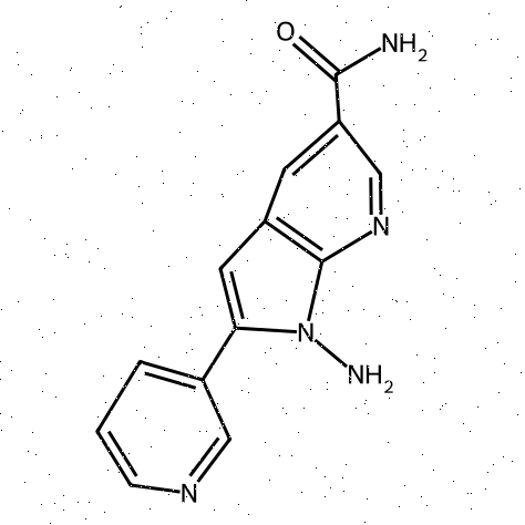 NC(=O)c1cnc2c(c1)cc(-c1cccnc1)n2N